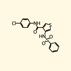 O=C(Nc1ccc(Cl)cc1)c1cscc1NS(=O)(=O)c1ccccc1